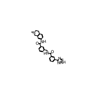 CN1CCc2ccc(NC(=O)c3cccc(CNC(=O)c4cccc(-c5nn[nH]n5)c4)c3)cc2C1